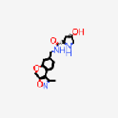 Cc1noc2c1-c1ccc(CNC(=O)[C@@H]3C[C@@H](O)CN3)cc1OC2